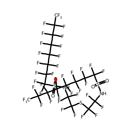 O=S(=O)(NC(F)(F)C(F)(F)SC(F)(F)C(F)(F)NS(=O)(=O)C(F)(F)C(F)(F)C(F)(F)C(F)(F)C(F)(F)C(F)(F)C(F)(F)C(F)(F)F)C(F)(F)C(F)(F)C(F)(F)C(F)(F)C(F)(F)C(F)(F)C(F)(F)C(F)(F)F